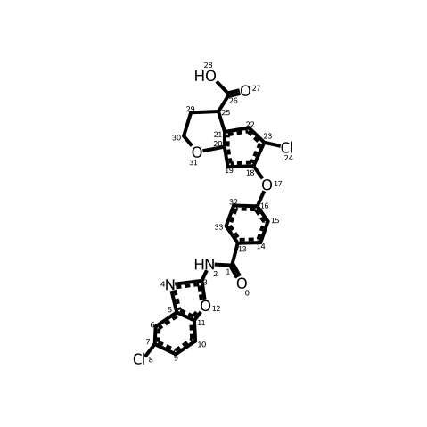 O=C(Nc1nc2cc(Cl)ccc2o1)c1ccc(Oc2cc3c(cc2Cl)C(C(=O)O)CCO3)cc1